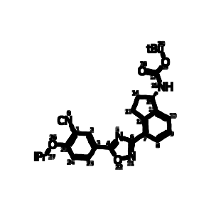 [C-]#[N+]c1cc(-c2nc(-c3cccc4c3CC[C@@H]4NC(=O)OC(C)(C)C)no2)ccc1OC(C)C